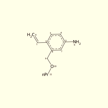 C=Cc1ccc(N)cc1COCCC